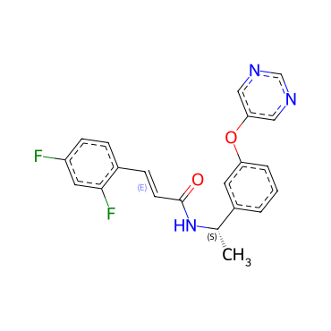 C[C@H](NC(=O)/C=C/c1ccc(F)cc1F)c1cccc(Oc2cncnc2)c1